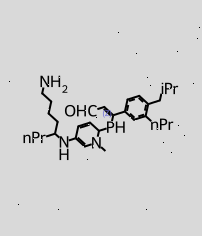 CCCc1cc(/C(=C/C=O)PC2C=CC(NC(CCC)CCCCN)=CN2C)ccc1CC(C)C